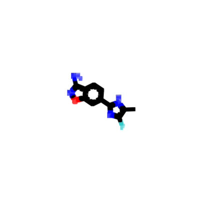 Cc1[nH]c(-c2ccc3c(N)noc3c2)nc1F